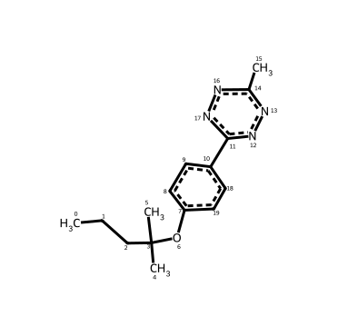 CCCC(C)(C)Oc1ccc(-c2nnc(C)nn2)cc1